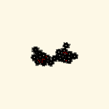 c1ccc(-c2cccc(-c3ccccc3N(c3cccc4c3-c3ccccc3C43c4ccccc4-n4c5ccccc5c5cccc3c54)c3cccc4c3oc3ccc(-c5cccc6c5c5cccc7c5n6-c5ccccc5C75c6ccccc6-c6c(N(c7ccccc7-c7cccc(-c8ccccc8)c7)c7cccc8c7sc7ccccc78)cccc65)cc34)c2)cc1